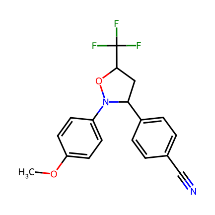 COc1ccc(N2OC(C(F)(F)F)CC2c2ccc(C#N)cc2)cc1